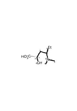 CCC(C[C@H](O)C(=O)O)N(C)C